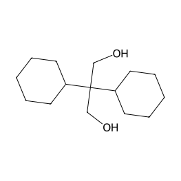 OCC(CO)(C1CCCCC1)C1CCCCC1